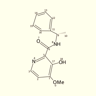 COc1ccnc(C(=O)N[C@@H](C)c2ccccc2)c1O